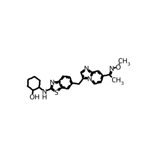 CON=C(C)c1ccn2c(Cc3ccc4nc(NC5CCCCC5O)sc4c3)cnc2c1